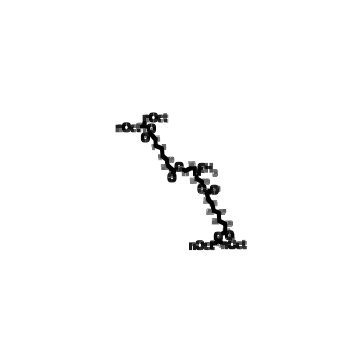 CCCCCCCCC(CCCCCCCC)OC(=O)CCCCCCC(=O)OCCN(C)CCOC(=O)CCCCCCC(=O)OC(CCCCCCCC)CCCCCCCC